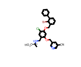 C[C@H](NCc1cc(Cl)c(OCc2cccc(-c3ccccc3)c2Br)cc1OCc1cncc(C#N)c1)C(=O)O